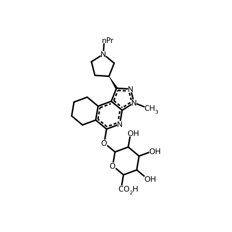 CCCN1CC[C@H](c2nn(C)c3nc(OC4OC(C(=O)O)C(O)C(O)C4O)c4c(c23)CCCC4)C1